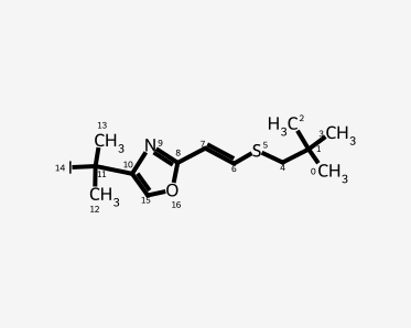 CC(C)(C)CS/C=C/c1nc(C(C)(C)I)co1